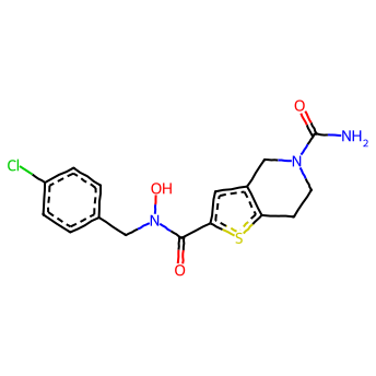 NC(=O)N1CCc2sc(C(=O)N(O)Cc3ccc(Cl)cc3)cc2C1